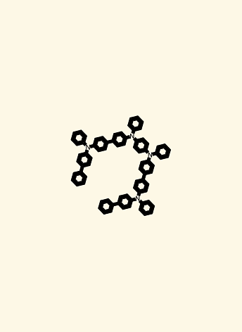 c1ccc(-c2ccc(N(c3ccccc3)c3ccc(-c4ccc(N(c5ccccc5)c5ccc(N(c6ccccc6)c6ccc(-c7ccc(N(c8ccccc8)c8ccc(-c9ccccc9)cc8)cc7)cc6)cc5)cc4)cc3)cc2)cc1